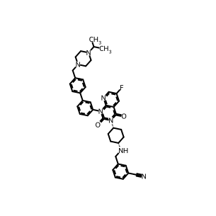 CC(C)N1CCN(Cc2ccc(-c3cccc(-n4c(=O)n([C@H]5CC[C@@H](NCc6cccc(C#N)c6)CC5)c(=O)c5cc(F)cnc54)c3)cc2)CC1